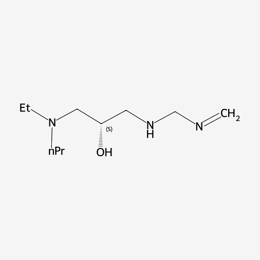 C=NCNC[C@H](O)CN(CC)CCC